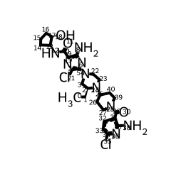 CC[C@H]1CN(c2nc(N)c(C(=O)N[C@H]3CCC[C@@H]3O)nc2Cl)CCN1C1CCN(C(=O)c2ccc(Cl)nc2N)CC1